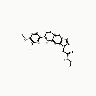 CCOC(=O)Cn1ncc2cc3ncc(-c4ccc(OC)c(F)c4)nc3cc21